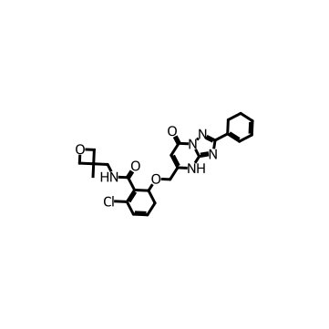 CC1(CNC(=O)C2=C(Cl)C=CCC2OCc2cc(=O)n3nc(C4=CC=CCC4)nc3[nH]2)COC1